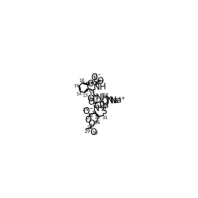 CO[C@]1(NC(=O)C(NS(=O)(=O)[O-])c2ccccc2)C(=O)N2C(C(=O)[O-])=C(COC(C)=O)CS[C@@H]21.[Na+].[Na+]